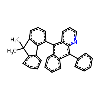 CC1(C)c2ccccc2-c2c(-c3c4ccccc4c(-c4ccccc4)c4ncccc34)cccc21